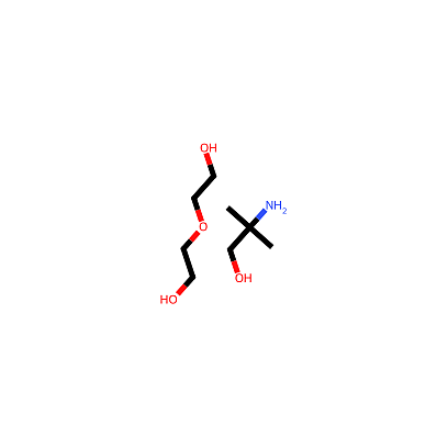 CC(C)(N)CO.OCCOCCO